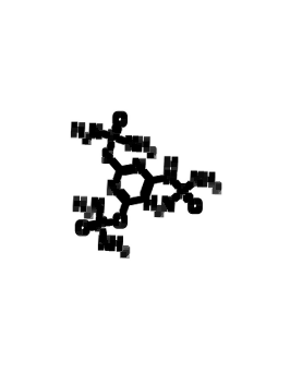 NP(N)(=O)Nc1cc(OP(N)(N)=O)nc(SP(N)(N)=O)n1